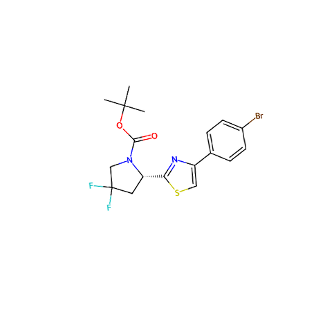 CC(C)(C)OC(=O)N1CC(F)(F)C[C@H]1c1nc(-c2ccc(Br)cc2)cs1